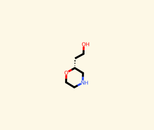 OCC[C@@H]1CNCCO1